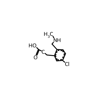 CNCc1ccc(Cl)cc1CCC(=O)O